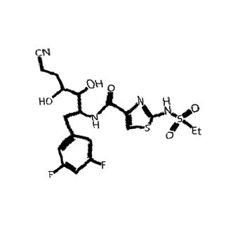 CCS(=O)(=O)Nc1nc(C(=O)NC(Cc2cc(F)cc(F)c2)C(O)C(O)CCC#N)cs1